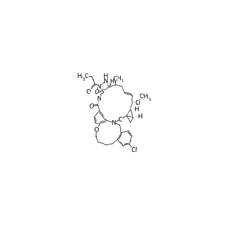 CCC(=O)N1N[C@@H]2[C@@H](C)C/C=C/[C@H](OC)[C@H]3[C@H]4CC34CN3Cc4ccc(Cl)cc4CCCCOc4ccc(cc43)C(=O)N=[S@@]21=O